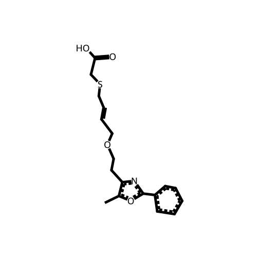 Cc1oc(-c2ccccc2)nc1CCOCC=CCSCC(=O)O